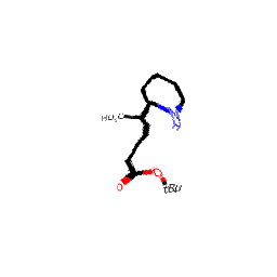 CC(C)(C)OC(=O)CCC(C(=O)O)C1CCCCN1